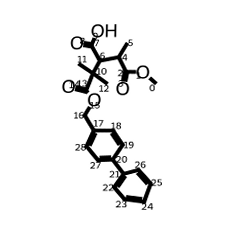 COC(=O)C(C)C(C(=O)O)C(C)(C)C(=O)OCc1ccc(-c2ccccc2)cc1